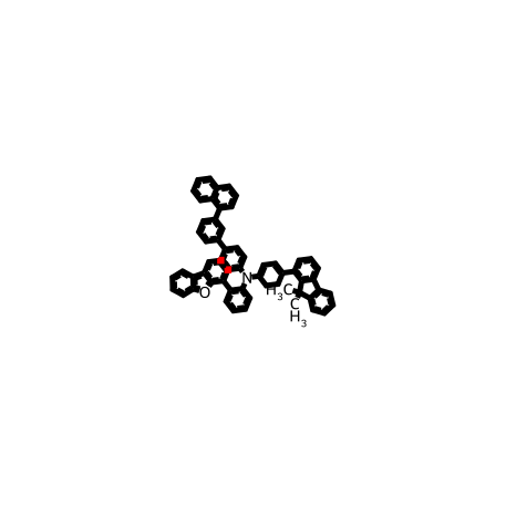 CC1(C)c2ccccc2-c2cccc(C3=CC=C(N(c4ccc(-c5cccc(-c6cccc7ccccc67)c5)cc4)c4ccccc4-c4c#ccc5c4oc4ccccc45)CC3)c21